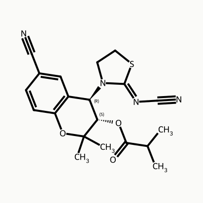 CC(C)C(=O)O[C@H]1[C@H](N2CCSC2=NC#N)c2cc(C#N)ccc2OC1(C)C